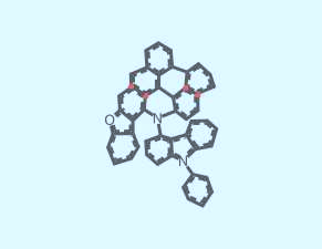 c1ccc(-c2cccc3cccc(-c4ccccc4N(c4cccc5oc6ccccc6c45)c4cccc5c4c4ccccc4n5-c4ccccc4)c23)cc1